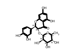 C[C@@H]1O[C@@H](O[C@H]2C(=O)c3c(O)cc(O)cc3O[C@@H]2c2ccc(O)c(O)c2)[C@H](O)[C@H](O)[C@H]1O